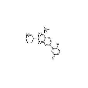 CN(C)c1nc(C2C=NC=CC2)nc2cc(-c3cc(F)ccc3F)ccc12